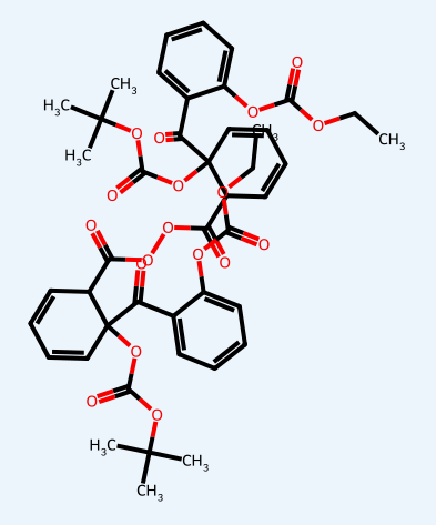 CCOC(=O)Oc1ccccc1C(=O)C1(OC(=O)OC(C)(C)C)C=CC=CC1C(=O)OOC(=O)C1C=CC=CC1(OC(=O)OC(C)(C)C)C(=O)c1ccccc1OC(=O)OCC